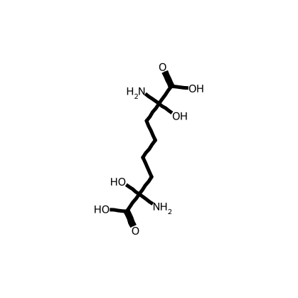 NC(O)(CCCCC(N)(O)C(=O)O)C(=O)O